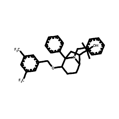 CC(C)(O)C1CC2(c3ccccc3)C(OCc3cc(C(F)(F)F)cc(C(F)(F)F)c3)CCC1N2Cc1ccccc1